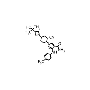 CC(C)(O)C1CN([C@@H]2CC[C@H](n3cc(C(N)=O)c(Nc4ccc(C(F)(F)F)cc4)n3)[C@@H](C#N)C2)C1